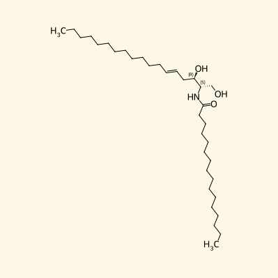 CCCCCCCCCCCCC=CC[C@@H](O)[C@H](CO)NC(=O)CCCCCCCCCCCCCCC